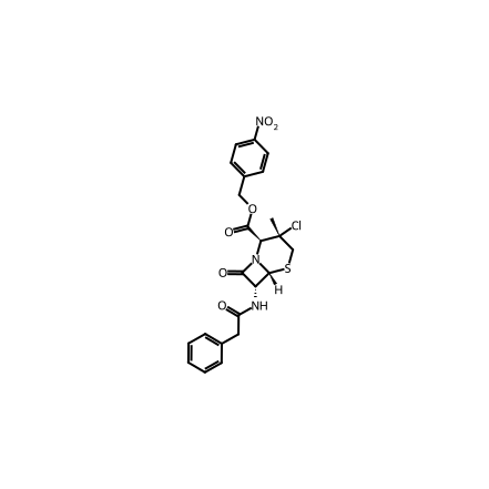 C[C@@]1(Cl)CS[C@@H]2[C@H](NC(=O)Cc3ccccc3)C(=O)N2[C@H]1C(=O)OCc1ccc([N+](=O)[O-])cc1